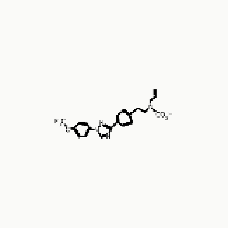 C=CCN(CCc1ccc(-c2ncn(-c3ccc(OC(F)(F)F)cc3)n2)cc1)C(=O)O